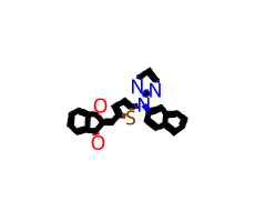 O=C1C(=Cc2ccc(N(c3ccc4ccccc4c3)c3ncccn3)s2)C(=O)c2ccccc21